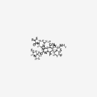 N#Cc1c(N)sc2c(F)ccc(-c3c(Cl)c4c5c(nc(OC[C@@]67CCCN6C[C@H](F)C7)nc5c3F)N3CCN(C(=O)C(F)F)CCC3CCO4)c12